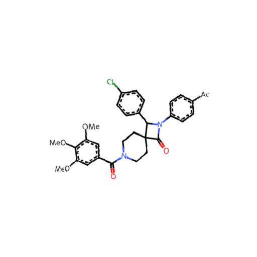 COc1cc(C(=O)N2CCC3(CC2)C(=O)N(c2ccc(C(C)=O)cc2)C3c2ccc(Cl)cc2)cc(OC)c1OC